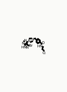 COCCCNC(=O)c1ccc(CN2CCN(c3ncnc4[nH]nc(Br)c34)CC2)cc1